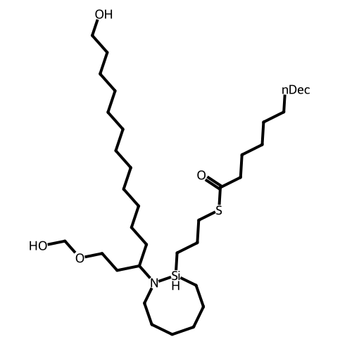 CCCCCCCCCCCCCCCC(=O)SCCC[SiH]1CCCCCCN1C(CCCCCCCCCCCCO)CCOCO